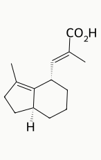 CC1=C2[C@@H](CCC[C@H]2/C=C(\C)C(=O)O)CC1